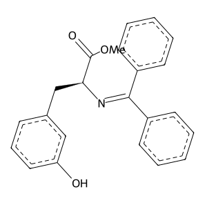 COC(=O)[C@H](Cc1cccc(O)c1)N=C(c1ccccc1)c1ccccc1